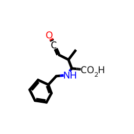 CC(C=C=O)C(NCc1ccccc1)C(=O)O